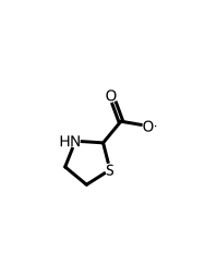 [O]C(=O)C1NCCS1